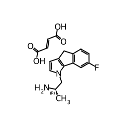 C[C@@H](N)Cn1ccc2c1-c1cc(F)ccc1C2.O=C(O)C=CC(=O)O